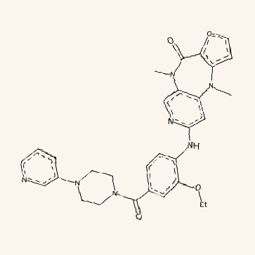 CCOc1cc(C(=O)N2CCN(c3cccnc3)CC2)ccc1Nc1cc2c(cn1)N(C)C(=O)c1occc1N2C